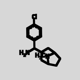 CN1C2CCC1CC(C(N)c1ccc(Cl)cc1)C2